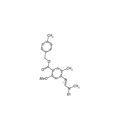 CCN(C)/C=N/c1cc(OC)c(C(=O)OCc2ccc(C)cc2)cc1C